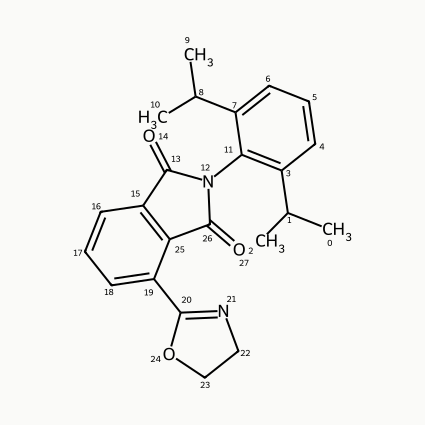 CC(C)c1cccc(C(C)C)c1N1C(=O)c2cccc(C3=NCCO3)c2C1=O